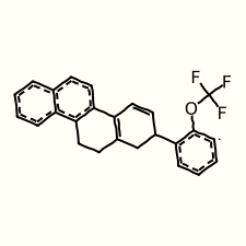 FC(F)(F)Oc1[c]cccc1C1C=CC2=C(CCc3c2ccc2ccccc32)C1